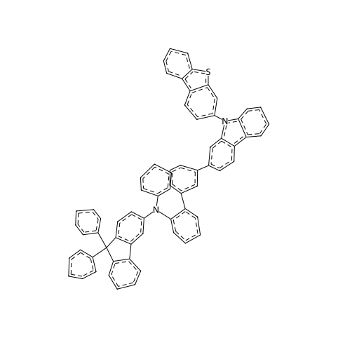 c1ccc(N(c2ccc3c(c2)-c2ccccc2C3(c2ccccc2)c2ccccc2)c2ccccc2-c2cccc(-c3ccc4c5ccccc5n(-c5ccc6c(c5)sc5ccccc56)c4c3)c2)cc1